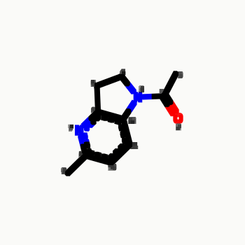 CC(=O)N1CCc2nc(C)ccc21